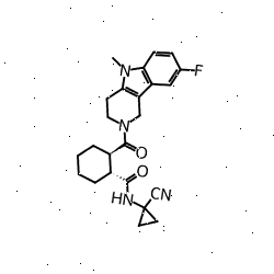 Cn1c2c(c3cc(F)ccc31)CN(C(=O)[C@@H]1CCCC[C@H]1C(=O)NC1(C#N)CC1)CC2